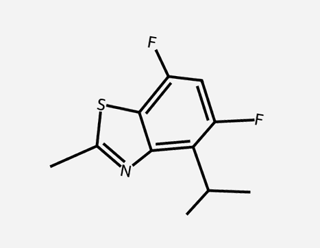 Cc1nc2c(C(C)C)c(F)cc(F)c2s1